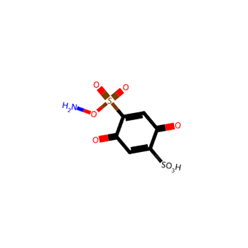 NOS(=O)(=O)C1=CC(=O)C(S(=O)(=O)O)=CC1=O